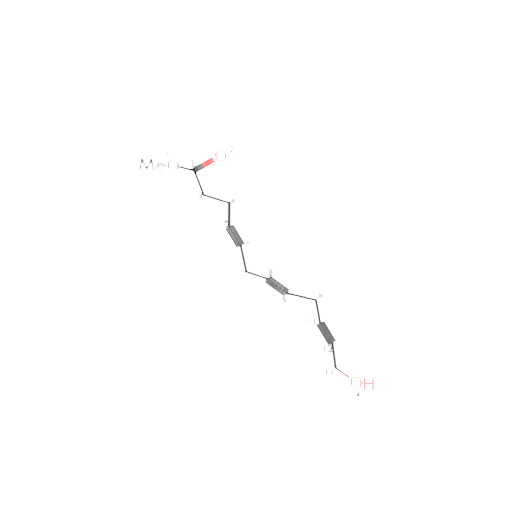 COC(=O)CCC#CCC#CCC#CCO